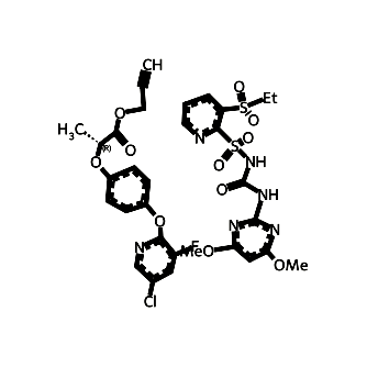 C#CCOC(=O)[C@@H](C)Oc1ccc(Oc2ncc(Cl)cc2F)cc1.CCS(=O)(=O)c1cccnc1S(=O)(=O)NC(=O)Nc1nc(OC)cc(OC)n1